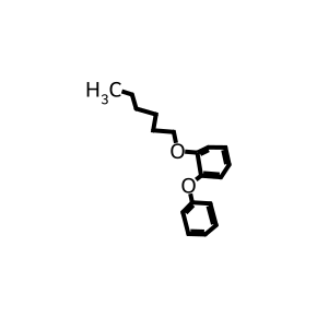 CCCCCCOc1ccccc1Oc1ccccc1